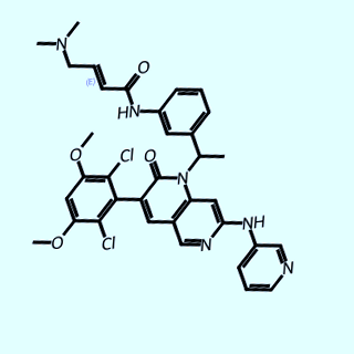 COc1cc(OC)c(Cl)c(-c2cc3cnc(Nc4cccnc4)cc3n(C(C)c3cccc(NC(=O)/C=C/CN(C)C)c3)c2=O)c1Cl